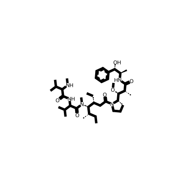 CC[C@H](CC(=O)N1CCC[C@H]1[C@H](OC)[C@@H](C)C(=O)N[C@H](C)[C@@H](O)c1ccccc1)[C@H]([C@@H](C)CC)N(C)C(=O)C(NC(=O)C(NC)C(C)C)C(C)C